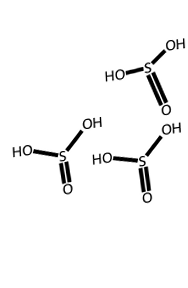 O=S(O)O.O=S(O)O.O=S(O)O